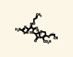 C=CCO/N=C(\C(=O)NC1C(=O)N2C(C(=O)O)=C(S/C=C\C#N)CS[C@H]12)c1nsc(N)n1